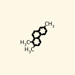 Cc1ccc2c(ccc3c(C)c(C)ccc32)c1